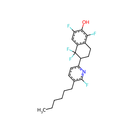 CCCCCCc1ccc(C2CCc3c(cc(F)c(O)c3F)C2(F)F)nc1F